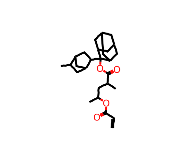 C=CC(=O)OC(C)CC(C)C(=O)OC1(C2CC3CC2CC3C)C2CC3CC(C2)CC1C3